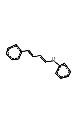 C(/C=C/c1ccccc1)=C\Nc1ccccc1